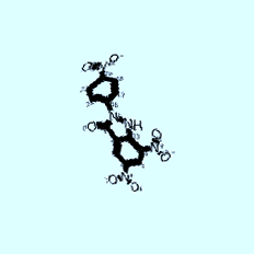 O=c1c2cc([N+](=O)[O-])cc([N+](=O)[O-])c2[nH]n1-c1ccc([N+](=O)[O-])cc1